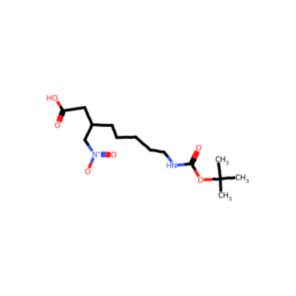 CC(C)(C)OC(=O)NCCCCCC(CC(=O)O)C[N+](=O)[O-]